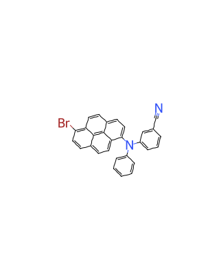 N#Cc1cccc(N(c2ccccc2)c2ccc3ccc4c(Br)ccc5ccc2c3c54)c1